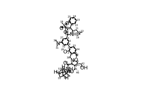 COc1c(-c2cc(C(=O)N[C@H](CN(C)C)C(NS(C)(=O)=O)c3ccccc3)cc(N(C)C)c2)ccc(F)c1CN1O[C@@H](CO)[C@@H]([C@H](C)O)[C@H]1C(=O)N[C@H]1C[C@H]2C[C@@H]([C@@H]1C)C2(C)C